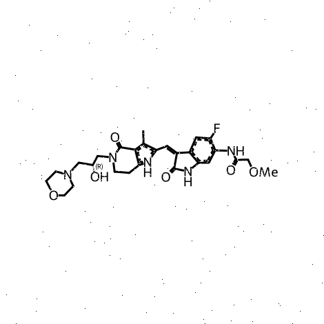 COCC(=O)Nc1cc2c(cc1F)C(=Cc1[nH]c3c(c1C)C(=O)N(C[C@H](O)CN1CCOCC1)CC3)C(=O)N2